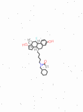 CCC(=O)N(CCCCC[C@@H]1Cc2cc(O)ccc2[C@@H]2[C@@H]1[C@@H]1CC[C@H](O)[C@@]1(C)C[C@@H]2F)CC1CCCCC1